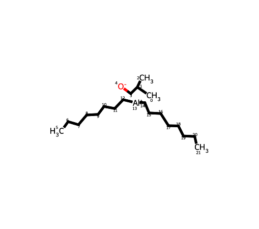 CC(C)C[O-].CCCCCCC[CH2][Al+][CH2]CCCCCCC